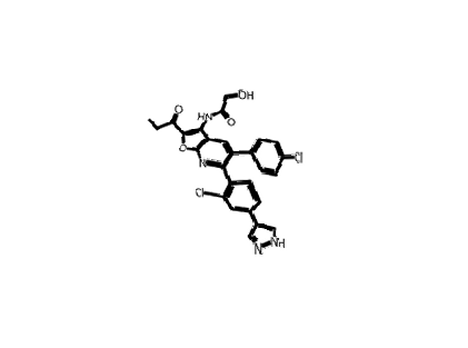 CCC(=O)c1oc2nc(-c3ccc(-c4cn[nH]c4)cc3Cl)c(-c3ccc(Cl)cc3)cc2c1NC(=O)CO